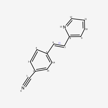 N#Cc1ccc(/C=C/c2ccccn2)cc1